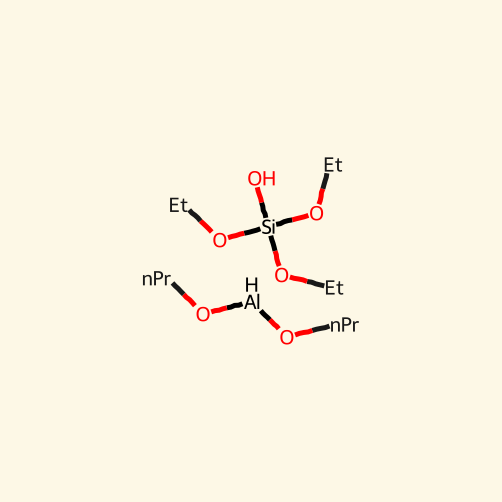 CCC[O][AlH][O]CCC.CCO[Si](O)(OCC)OCC